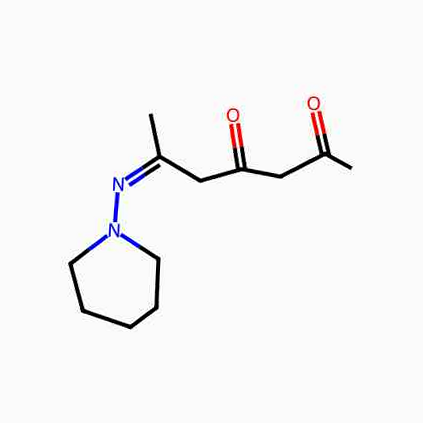 CC(=O)CC(=O)CC(C)=NN1CCCCC1